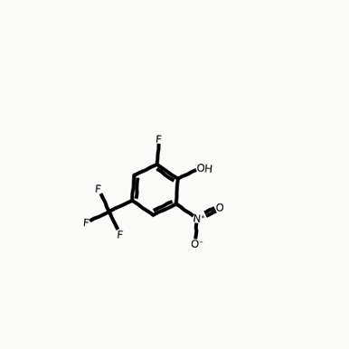 O=[N+]([O-])c1cc(C(F)(F)F)cc(F)c1O